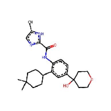 CC1(C)CCC(c2cc(C3(O)CCOCC3)ccc2NC(=O)c2ncc(C#N)[nH]2)CC1